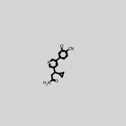 N#Cc1ccc(-c2cncc(C(CC(N)=O)C3CC3)c2)cc1Cl